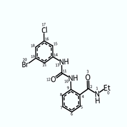 CCNC(=O)c1ccccc1NC(=O)Nc1cc(Cl)cc(Br)c1